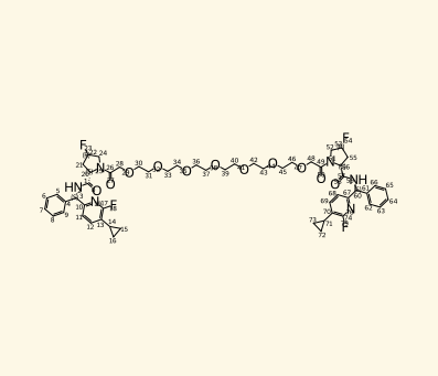 O=C(N[C@@H](c1ccccc1)c1ccc(C2CC2)c(F)n1)[C@@H]1C[C@@H](F)CN1C(=O)COCCOCCOCCOCCOCCOCCOCC(=O)N1C[C@H](F)C[C@H]1C(=O)N[C@@H](c1ccccc1)c1ccc(C2CC2)c(F)n1